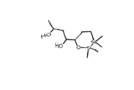 CC(O)CC(O)C1CC[Si](C)(C)[Si](C)(C)O1